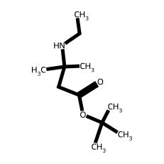 CCNC(C)(C)CC(=O)OC(C)(C)C